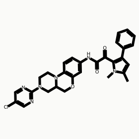 Cc1cc(-c2ccccc2)c(C(=O)C(=O)Nc2ccc3c(c2)OCC2CN(c4ncc(Cl)cn4)CCN32)n1C